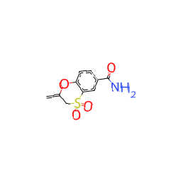 C=C1CS(=O)(=O)c2cc(C(N)=O)ccc2O1